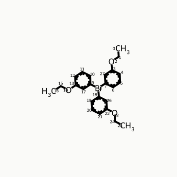 CCOc1ccc[c]([Bi]([c]2cccc(OCC)c2)[c]2cccc(OCC)c2)c1